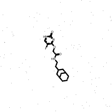 O=C(COc1nc(=O)[nH]cc1F)NCCC1CC2CCCC(C2)C1